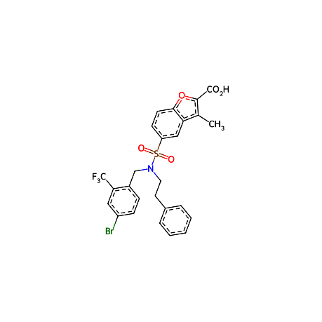 Cc1c(C(=O)O)oc2ccc(S(=O)(=O)N(CCc3ccccc3)Cc3ccc(Br)cc3C(F)(F)F)cc12